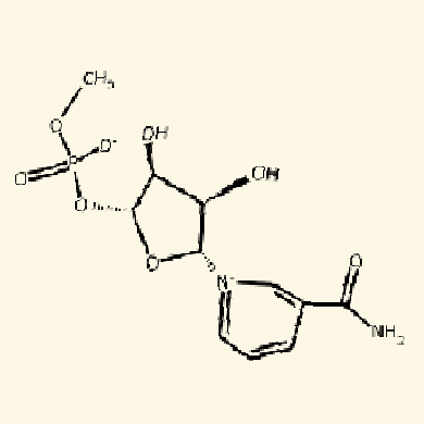 COP(=O)([O-])O[C@H]1O[C@@H]([n+]2cccc(C(N)=O)c2)[C@H](O)[C@@H]1O